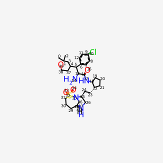 CC1(C)CC(C(c2ccc(Cl)cc2)C(N)C(=O)N[C@H]2CCC[C@@H]2CC[C@H]2CN[C@@H]3CCCS(=O)(=O)N2C3)CCO1